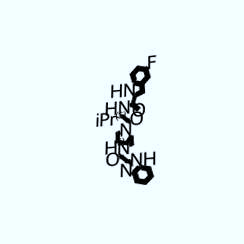 CC(C)[C@H](NC(=O)c1cc2cc(F)ccc2[nH]1)C(=O)N1C[C@@H]2CC1CN2C(=O)c1nc2ccccc2[nH]1